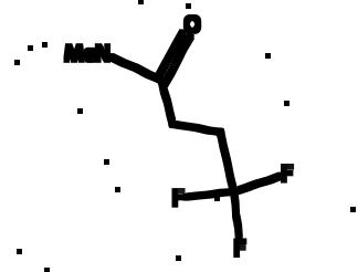 CNC(=O)CCC(F)(F)F